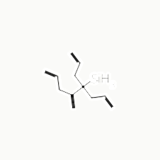 C=CCC(=C)C([SiH3])(CC=C)CC=C